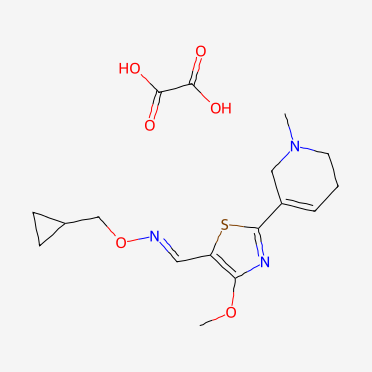 COc1nc(C2=CCCN(C)C2)sc1C=NOCC1CC1.O=C(O)C(=O)O